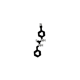 N#Cc1ccc(NC(=S)NCc2ccccc2)cc1